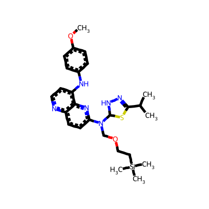 COc1ccc(Nc2ccnc3ccc(N(COCC[Si](C)(C)C)C4NN=C(C(C)C)S4)nc23)cc1